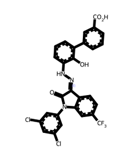 O=C(O)c1cccc(-c2cccc(N/N=C3\C(=O)N(c4cc(Cl)cc(Cl)c4)c4cc(C(F)(F)F)ccc43)c2O)c1